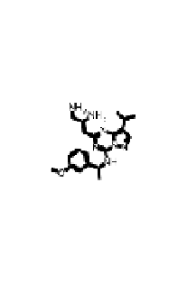 COc1cccc(C(C)Nc2nc(CC(N)CN)nc3c(C(C)C)cnn23)c1